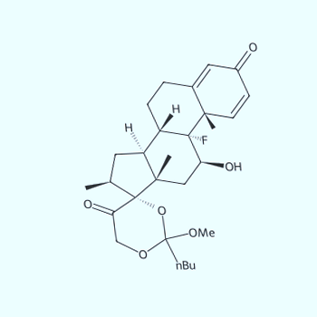 CCCCC1(OC)OCC(=O)[C@@]2(O1)[C@@H](C)C[C@H]1[C@@H]3CCC4=CC(=O)C=C[C@]4(C)[C@@]3(F)[C@@H](O)C[C@@]12C